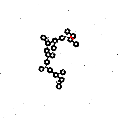 c1ccc(-c2ccc(N(c3ccc(-c4ccc(-c5cc(-c6ccc7cc(-c8ccc(N(c9ccccc9)c9ccc(-c%10ccc(-c%11cccc%12c%11oc%11ccccc%11%12)c(-c%11ccccc%11)c%10)cc9)cc8)c8ccccc8c7c6)cc6c5oc5ccccc56)c(-c5ccccc5)c4)cc3)c3ccccc3-c3ccccc3)cc2)cc1